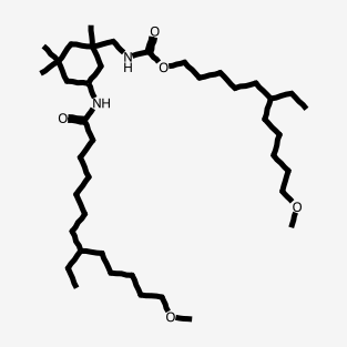 CCC(CCCCCCC(=O)NC1CC(C)(C)CC(C)(CNC(=O)OCCCCCC(CC)CCCCCOC)C1)CCCCCOC